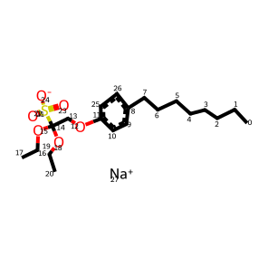 CCCCCCCCc1ccc(OCC(OCC)(OCC)S(=O)(=O)[O-])cc1.[Na+]